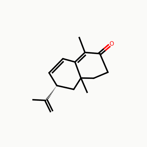 C=C(C)[C@@H]1C=CC2=C(C)C(=O)CCC2(C)C1